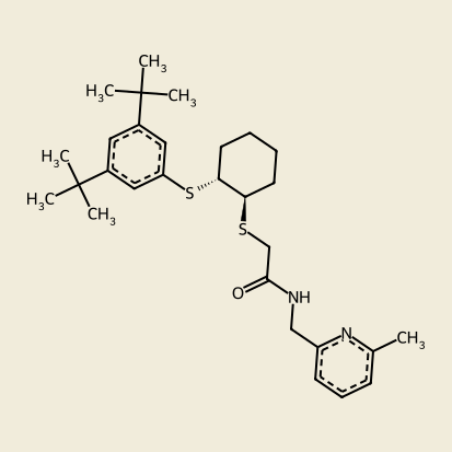 Cc1cccc(CNC(=O)CS[C@@H]2CCCC[C@H]2Sc2cc(C(C)(C)C)cc(C(C)(C)C)c2)n1